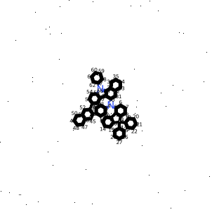 c1ccc(N(c2cccc3c2-c2ccccc2C3(c2ccccc2)c2ccccc2)c2cc3ccccc3c3c2c2cc(-c4ccc5ccccc5c4)ccc2n3-c2ccccc2)cc1